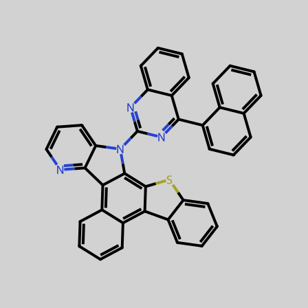 c1ccc2c(-c3nc(-n4c5cccnc5c5c6ccccc6c6c7ccccc7sc6c54)nc4ccccc34)cccc2c1